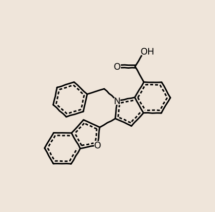 O=C(O)c1cccc2cc(-c3cc4ccccc4o3)n(Cc3ccccc3)c12